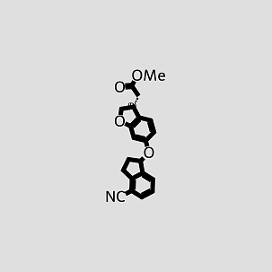 COC(=O)C[C@H]1COc2cc(OC3CCc4c(C#N)cccc43)ccc21